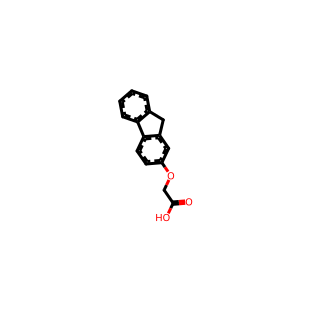 O=C(O)COc1ccc2c(c1)Cc1ccccc1-2